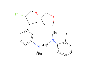 C1CCOC1.C1CCOC1.CCCC[N]([Hf+2][N](CCCC)c1ccccc1C)c1ccccc1C.[F-].[F-]